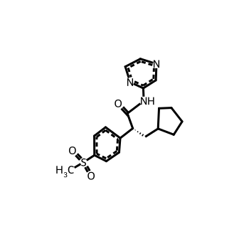 CS(=O)(=O)c1ccc([C@@H](CC2CCCC2)C(=O)Nc2cnccn2)cc1